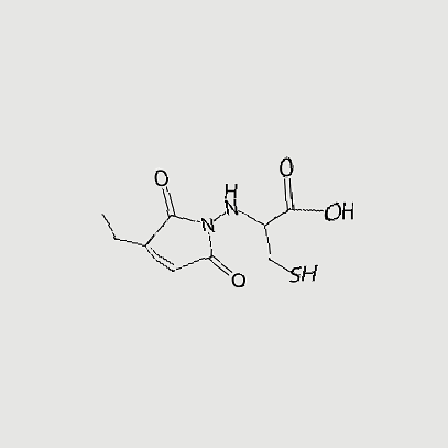 CCC1=CC(=O)N(NC(CS)C(=O)O)C1=O